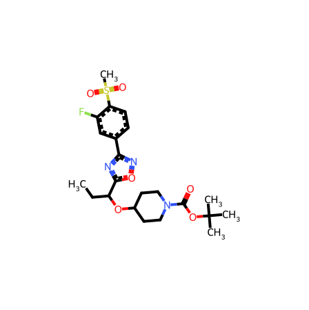 CCC(OC1CCN(C(=O)OC(C)(C)C)CC1)c1nc(-c2ccc(S(C)(=O)=O)c(F)c2)no1